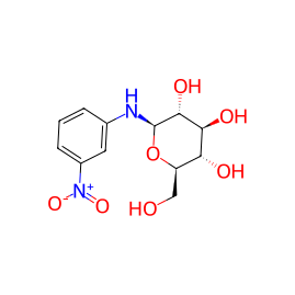 O=[N+]([O-])c1cccc(N[C@@H]2O[C@H](CO)[C@@H](O)[C@H](O)[C@H]2O)c1